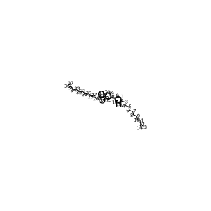 c1cc(CCCCCCCCCC2CC2)ncc1-c1ccc2c(c1)OC(CCCCCCCCCC1CC1)O2